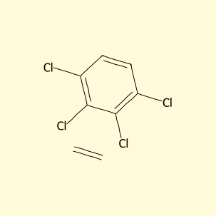 C=C.Clc1ccc(Cl)c(Cl)c1Cl